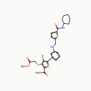 COC(=O)c1sc(-c2cccc(NCc3ccc(C(=O)NC4CCCCC4)s3)c2)c(Br)c1OCC(=O)OC(C)(C)C